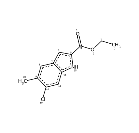 CCOC(=O)c1cc2cc(C)c(Cl)cc2[nH]1